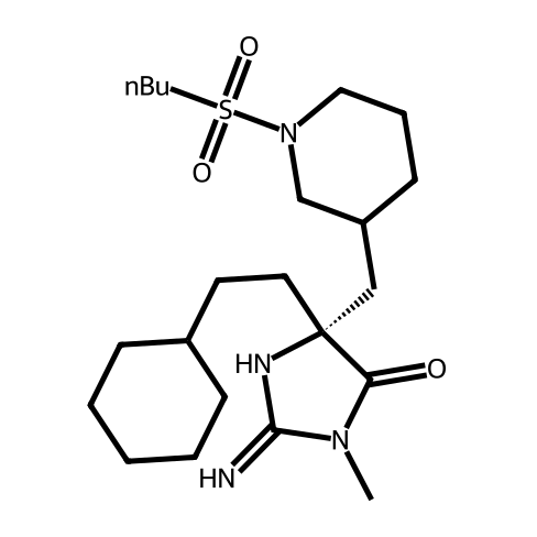 CCCCS(=O)(=O)N1CCCC(C[C@@]2(CCC3CCCCC3)NC(=N)N(C)C2=O)C1